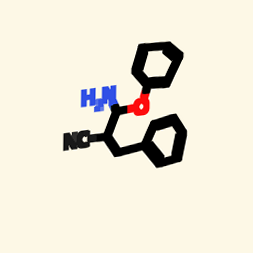 N#CC(Cc1ccccc1)C(N)Oc1ccccc1